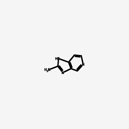 NC1=Nc2cnccc2B1